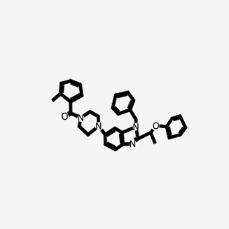 Cc1ccccc1C(=O)N1CCN(c2ccc3nc(C(C)Oc4ccccc4)n(Cc4ccccc4)c3c2)CC1